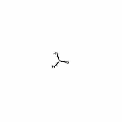 CCN([NH])CC